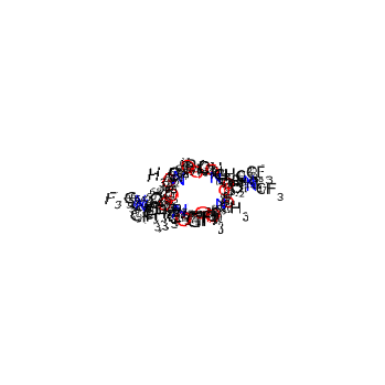 CC(C)C[C@H]1C(=O)O[C@H](Cc2ccc([C@H](C)n3nc(C(F)(F)F)cc3C(F)(F)F)cc2)C(=O)N(C)[C@@H](CC(C)C)C(=O)O[C@H](C)C(=O)N(C)[C@@H](CC(C)C)C(=O)O[C@H](Cc2ccc([C@@H](C)n3nc(C(F)(F)F)cc3C(F)(F)F)cc2)C(=O)N(C)[C@@H](CC(C)C)C(=O)O[C@H](C)C(=O)N1C